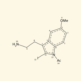 COc1ccc2c(c1)c(CCN)c(I)n2C(C)=O